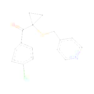 O=C(c1ccc(Cl)cc1)C1(SCc2ccncc2)CC1